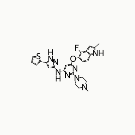 Cc1cc2c(F)c(Oc3cc(Nc4cc(-c5cccs5)[nH]n4)nc(N4CCN(C)CC4)n3)ccc2[nH]1